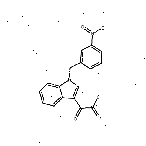 O=C(Cl)C(=O)c1cn(Cc2cccc([N+](=O)[O-])c2)c2ccccc12